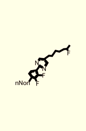 CCCCCCCCCc1ccc(-c2ncc(CCCCCC(C)F)cn2)c(F)c1F